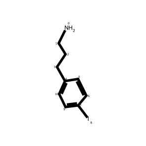 NCCCc1ccc(I)cc1